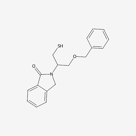 O=C1c2ccccc2CN1C(CS)COCc1ccccc1